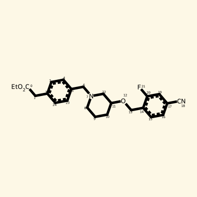 CCOC(=O)Cc1ccc(CN2CCCC(OCc3ccc(C#N)cc3F)C2)cc1